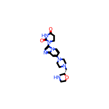 O=C1CCN(c2cnc3cc(N4CCN(C[C@H]5CNCCO5)CC4)ccn23)C(=O)N1